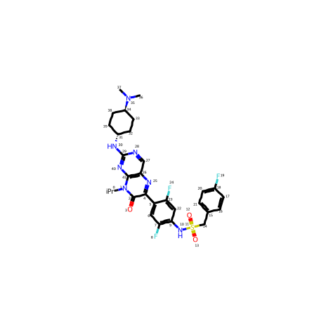 CC(C)n1c(=O)c(-c2cc(F)c(NS(=O)(=O)Cc3ccc(F)cc3)cc2F)nc2cnc(N[C@H]3CC[C@H](N(C)C)CC3)nc21